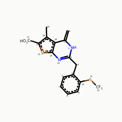 C=C1NC(Cc2ccccc2SC(F)(F)F)=Nc2sc(C(=O)O)c(C)c21